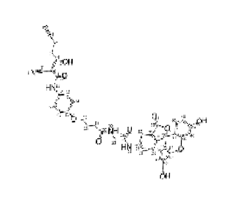 C#CCC/C(O)=C(\C#N)C(=O)Nc1ccc(OCCCC(=O)NCC(=O)Nc2ccc3c(c2)C(=O)OC32c3ccc(O)cc3Oc3cc(O)ccc32)cc1